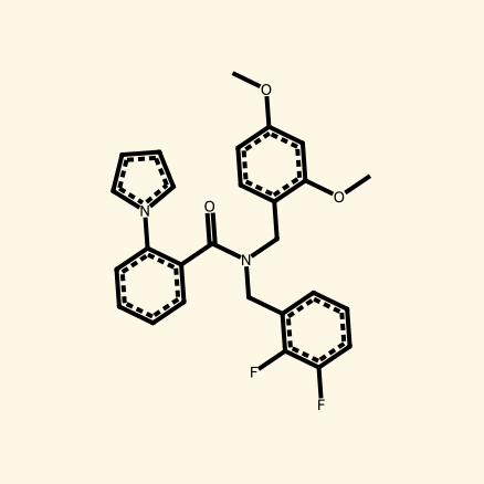 COc1ccc(CN(Cc2cccc(F)c2F)C(=O)c2ccccc2-n2cccc2)c(OC)c1